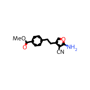 COC(=O)c1ccc(CCc2coc(N)c2C#N)cc1